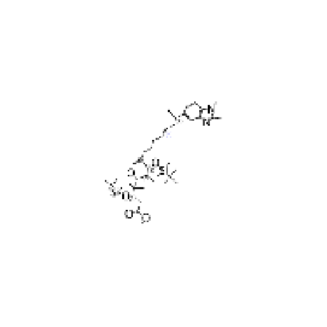 COC(=O)C[C@H](O[Si](C)(C)C(C)(C)C)C(C)(C)C(=O)[C@H](C)[C@@H](O[Si](C)(C)C(C)(C)C)[C@@H](C)CCC/C=C/C[C@@H](C)c1ccc2c(c1)nc(C)n2C